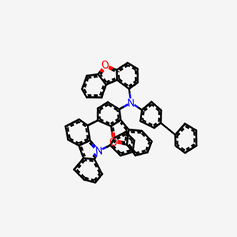 c1ccc(-c2ccc(N(c3cccc4oc5ccccc5c34)c3ccc(-c4cccc5c6ccccc6n(-c6ccccc6)c45)c4oc5ccccc5c34)cc2)cc1